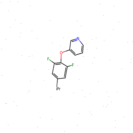 CC(C)c1cc(F)c(Oc2cccnc2)c(F)c1